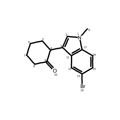 Cn1cc(C2CCCCC2=O)c2cc(Br)ccc21